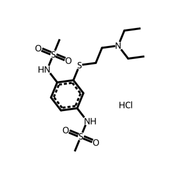 CCN(CC)CCSc1cc(NS(C)(=O)=O)ccc1NS(C)(=O)=O.Cl